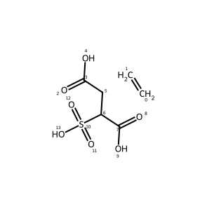 C=C.O=C(O)CC(C(=O)O)S(=O)(=O)O